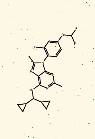 Cc1nc(NC(C2CC2)C2CC2)c2nc(C)n(-c3ccc(OC(F)F)cc3Br)c2n1